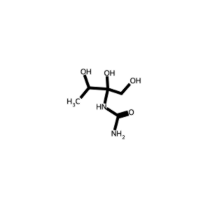 CC(O)C(O)(CO)NC(N)=O